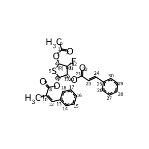 CC(=O)O[C@@H]1S[C@@H](OC(=O)C(C)=Cc2ccccc2)[C@@H](OC(=O)C=Cc2ccccc2)[C@@H]1F